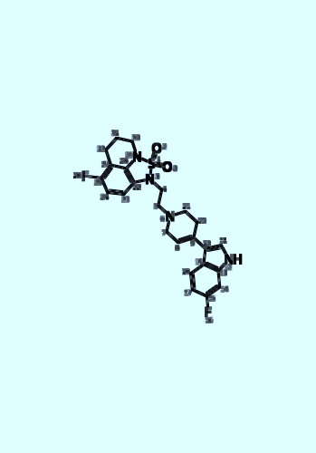 O=S1(=O)N(CCN2CC=C(c3c[nH]c4cc(F)ccc34)CC2)c2ccc(F)c3c2N1CCC3